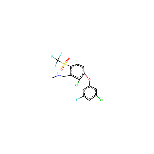 CNCc1c(S(=O)(=O)C(F)(F)F)ccc(Oc2cc(F)cc(Cl)c2)c1Cl